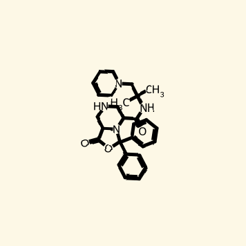 CC(C)(CN1CC=CCC1)NC(=O)C1CNCC2C(=O)OC(c3ccccc3)(c3ccccc3)N12